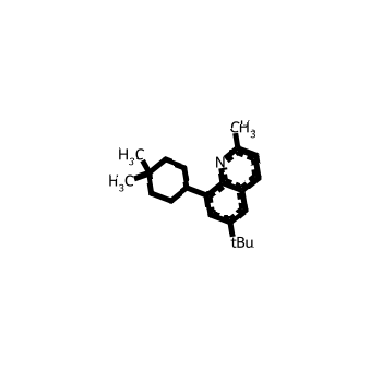 Cc1ccc2cc(C(C)(C)C)cc(C3CCC(C)(C)CC3)c2n1